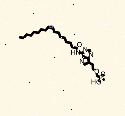 CCCCCCCC/C=C\CCCCCCCC(=O)NC1=NC=NC2C(CCOCP(C)(=O)O)C=NC12